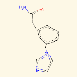 NC(=O)Cc1cccc(-n2ccnc2)c1